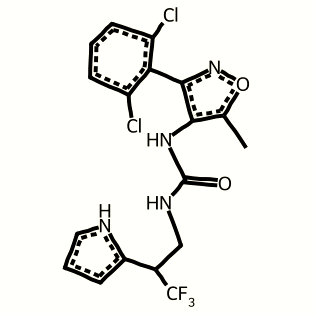 Cc1onc(-c2c(Cl)cccc2Cl)c1NC(=O)NCC(c1ccc[nH]1)C(F)(F)F